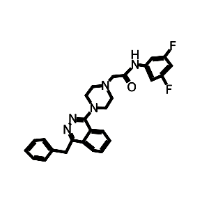 O=C(CN1CCN(c2nnc(Cc3ccccc3)c3ccccc23)CC1)Nc1cc(F)cc(F)c1